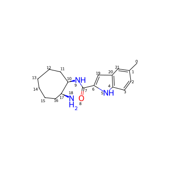 Cc1ccc2[nH]c(C(=O)N[C@@H]3CCCCCC[C@@H]3N)cc2c1